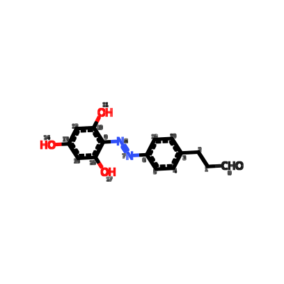 O=CCCc1ccc(N=Nc2c(O)cc(O)cc2O)cc1